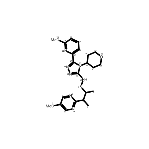 COc1cnc(C(C)C(C)SNc2nnc(-c3cccc(OC)n3)n2C2CCOCC2)nc1